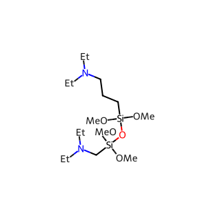 CCN(CC)CCC[Si](OC)(OC)O[Si](CN(CC)CC)(OC)OC